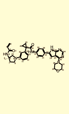 C=CC(=O)N[C@]1(C)CCN(c2cccc(C3(C(=O)Nc4ccc(-c5cc6c(N7CCOCC7)ncnc6[nH]5)cc4)CC3)c2)C1